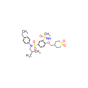 CCc1ccc(N(CC(C)C)S(=O)(=O)c2ccc(OCC3CCS(=O)(=O)CC3)c(S(C)(=N)=O)c2)cc1